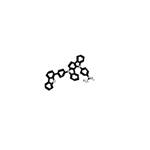 C[SiH2]c1ccc(-n2c3ccccc3c3ccc4c(c5ccccc5n4-c4ccc(-c5cccc6c5oc5ccccc56)cc4)c32)cc1